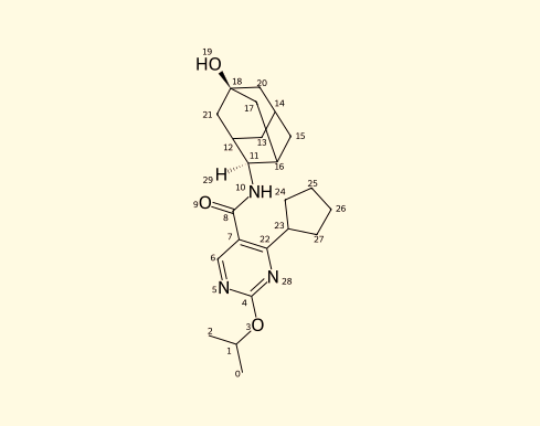 CC(C)Oc1ncc(C(=O)N[C@H]2C3CC4CC2C[C@@](O)(C4)C3)c(C2CCCC2)n1